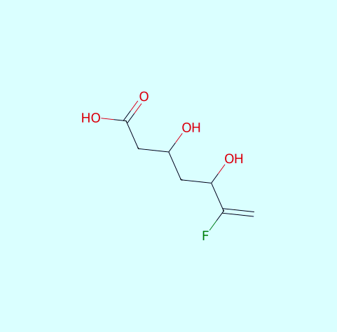 C=C(F)C(O)CC(O)CC(=O)O